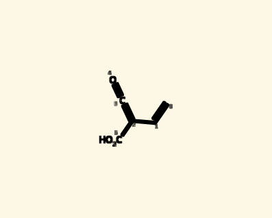 C=CC(=C=O)C(=O)O